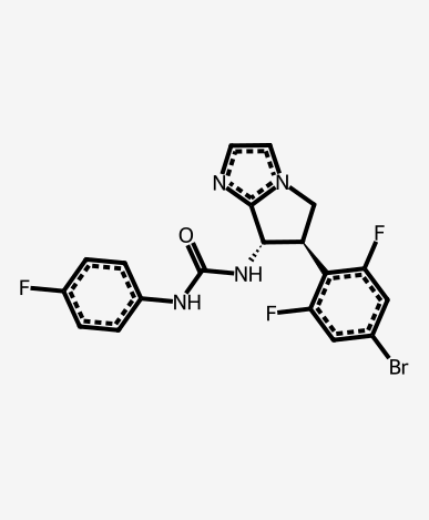 O=C(Nc1ccc(F)cc1)N[C@@H]1c2nccn2C[C@H]1c1c(F)cc(Br)cc1F